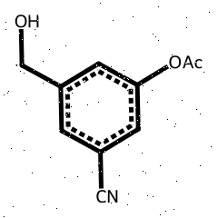 CC(=O)Oc1cc(C#N)cc([CH]O)c1